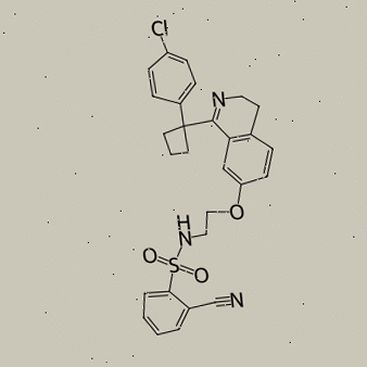 N#Cc1ccccc1S(=O)(=O)NCCOc1ccc2c(c1)C(C1(c3ccc(Cl)cc3)CCC1)=NCC2